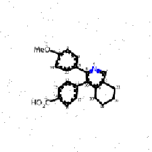 COc1ccc(-c2ncc3c(c2-c2ccc(C(=O)O)cc2)CCCC3)cc1